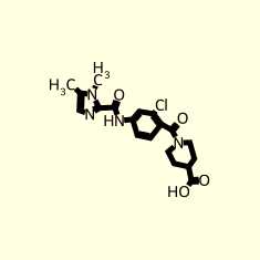 Cc1cnc(C(=O)Nc2ccc(C(=O)N3CCC(C(=O)O)CC3)c(Cl)c2)n1C